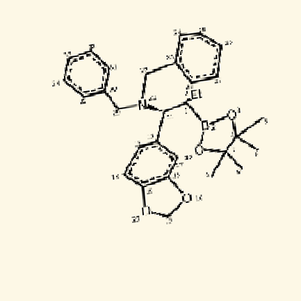 CC[C@@H](B1OC(C)(C)C(C)(C)O1)[C@@H](c1ccc2c(c1)OCO2)N(Cc1ccccc1)Cc1ccccc1